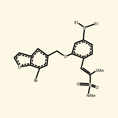 CCN(CC)c1ccc(/C=C(\SC)S(=O)(=O)NC)c(OCc2cc(Br)c3occc3c2)c1